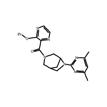 Cc1cc(C)nc(N2CC3CC2CN(C(=O)c2nccnc2OC(C)C)C3)n1